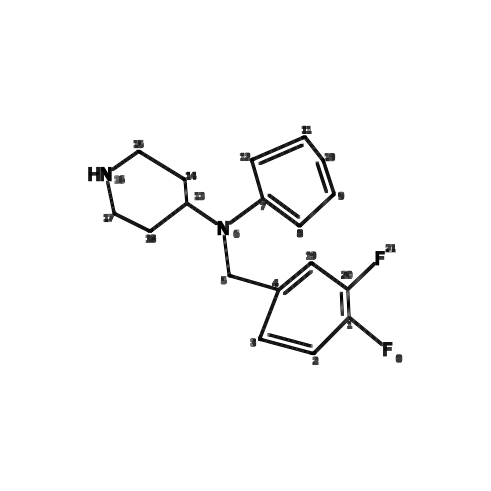 Fc1ccc(CN(c2ccccc2)C2CCNCC2)cc1F